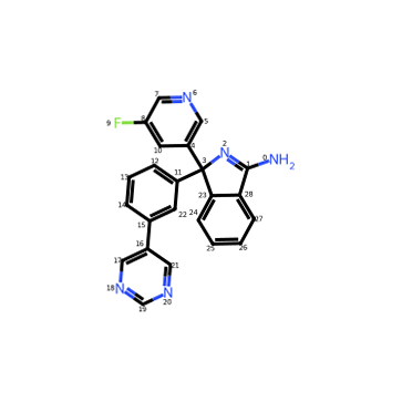 NC1=NC(c2cncc(F)c2)(c2cccc(-c3cncnc3)c2)c2ccccc21